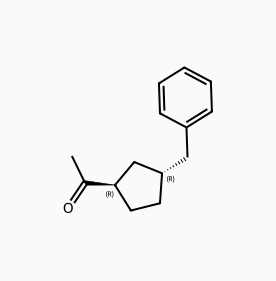 CC(=O)[C@@H]1CC[C@@H](Cc2ccccc2)C1